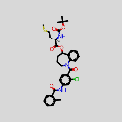 CSCC[C@H](NC(=O)OC(C)(C)C)C(=O)OC1CCCN(C(=O)c2ccc(NC(=O)c3ccccc3C)cc2Cl)c2ccccc21